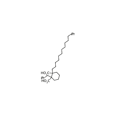 CC(C)CCCCCCCCCCCC1(C(=O)O)CCCCC1(CC(C)C)C(=O)O